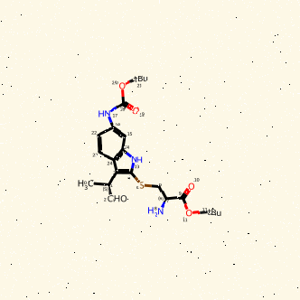 C[C@H](C=O)c1c(SC[C@H](N)C(=O)OC(C)(C)C)[nH]c2cc(NC(=O)OC(C)(C)C)ccc12